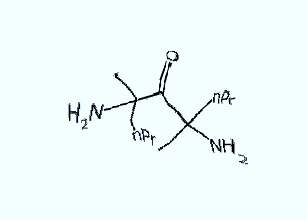 CCCC(C)(N)C(=O)C(C)(N)CCC